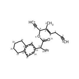 C#CCC=C(C)C(C#C)OC(=O)C(c1ccc2c(c1)CCCC2)C(C)C